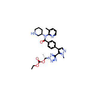 CCOC(=O)O[C@H](C)n1nnc(-c2c(-c3ccc(C(=O)N(c4ncccc4C)[C@@H]4CCCNC4)cc3)cnn2C)n1